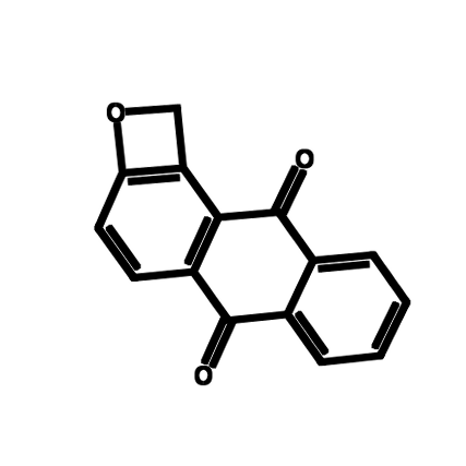 O=C1c2ccccc2C(=O)c2c1ccc1c2CO1